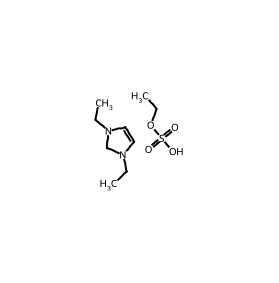 CCN1C=CN(CC)C1.CCOS(=O)(=O)O